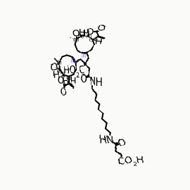 C=C1C(=O)O[C@H]2[C@H]1CC/C(CC(CC(=O)NCCCCCCCCCCNC(=O)CCC(=O)O)(C/C1=C/CC[C@@]3(C)O[C@H]3[C@H]3OC(=O)C(=C)[C@@H]3CC1)C(=O)O)=C\CC[C@@]1(C)O[C@@H]21